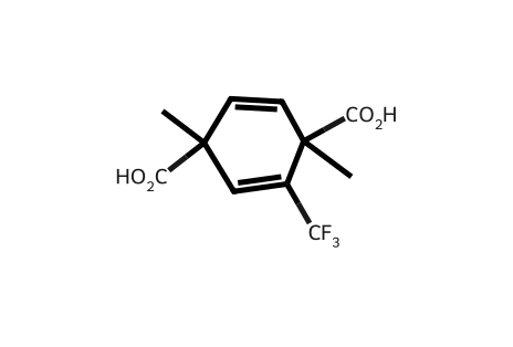 CC1(C(=O)O)C=CC(C)(C(=O)O)C(C(F)(F)F)=C1